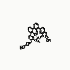 COc1nc(-c2cccc(-c3cccc(-c4ccc(CN5CC(O)C5)c(OC)n4)c3Cl)c2Cl)ccc1CN1CC(O)C1